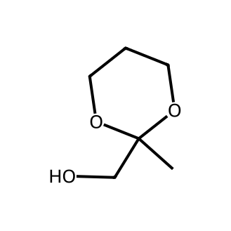 CC1(CO)OCCCO1